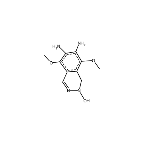 COc1c(N)c(N)c(OC)c2c1C=NN(O)C2